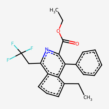 CCOC(=O)c1nc(CC(F)(F)F)c2cccc(CC)c2c1-c1ccccc1